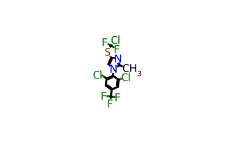 Cc1nc(SC(F)(F)Cl)cn1-c1c(Cl)cc(C(F)(F)F)cc1Cl